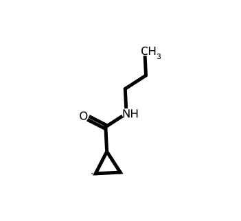 CCCNC(=O)C1[CH]C1